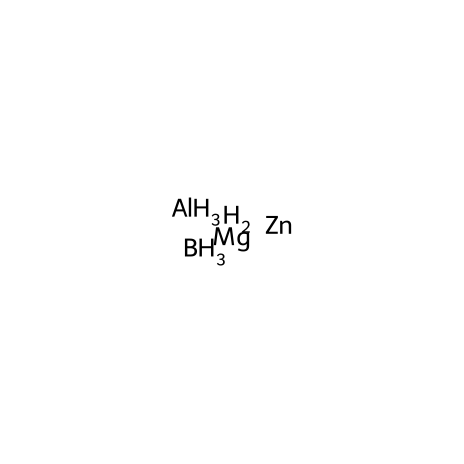 B.[AlH3].[MgH2].[Zn]